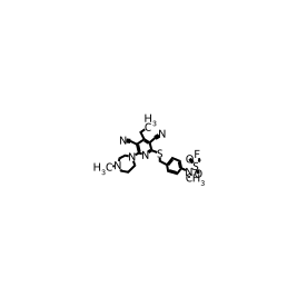 CCc1c(C#N)c(SCc2ccc(N(C)S(=O)(=O)CF)cc2)nc(N2CCCN(C)CC2)c1C#N